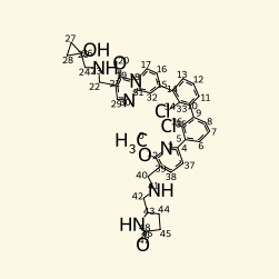 COc1nc(-c2cccc(-c3cccc(-c4ccn5c(=O)c(CNCC6(O)CC6)cnc5c4)c3Cl)c2Cl)ccc1CNCC1CCC(=O)N1